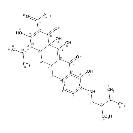 CN(C)C(CNc1ccc2c(c1O)C(=O)C1=C(O)C3(O)C(=O)C(C(N)=O)=C(O)[C@@H](N(C)C)C3CC1C2)C(=O)O